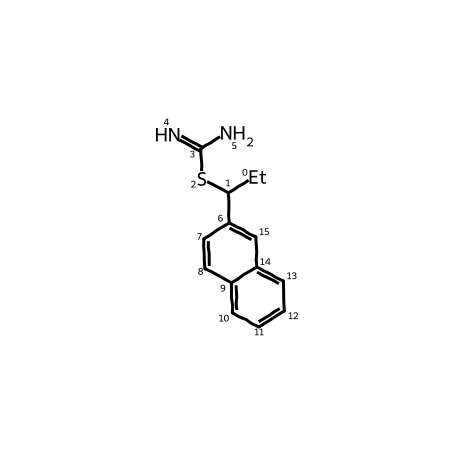 CCC(SC(=N)N)c1ccc2ccccc2c1